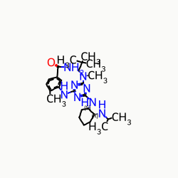 Cc1ccc(C(N)=O)cc1Nc1nc(N[C@H]2CCCC[C@H]2NC(C)C)nc(N(C)CC(C)(C)C)n1